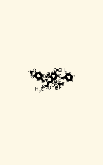 COC(=O)C1=C(OS(=O)(=O)C(F)(F)F)c2cc(OCc3ccccc3)c(OC)cc2S(=O)(=O)N1Cc1ccc2c(c1)OCO2